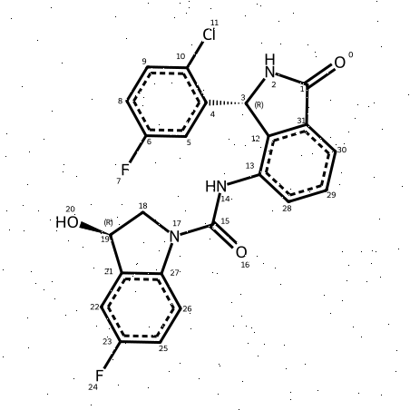 O=C1N[C@@H](c2cc(F)ccc2Cl)c2c(NC(=O)N3C[C@H](O)c4cc(F)ccc43)cccc21